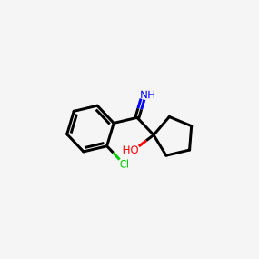 N=C(c1ccccc1Cl)C1(O)CCCC1